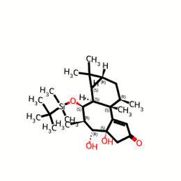 C[C@H]1[C@@H](O[Si](C)(C)C(C)(C)C)[C@H]2[C@@H]3[C@@H](C[C@@H](C)[C@]2(C)C2=CC(=O)C[C@@]2(O)[C@@H]1O)C3(C)C